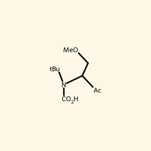 COCC(C(C)=O)N(C(=O)O)C(C)(C)C